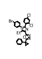 CCc1c(-c2nnc(C3(c4ccccc4)CC3)o2)nc(-c2ccc(Cl)cc2Cl)n1-c1ccc(Br)cc1